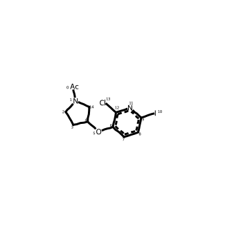 CC(=O)N1CCC(Oc2ccc(I)nc2Cl)C1